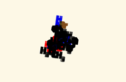 CC(C)C[C@H]1C(=O)N2CCC[C@H]2[C@]2(O)O[C@](NC(=O)[C@@H]3C=C4c5cccc6[nH]c(Br)c(c56)C[C@H]4N(C)C3)(C(C)C)C(=O)N12.CN1CCN2c3ccccc3Cc3ccccc3C2C1